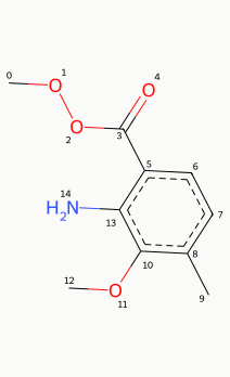 COOC(=O)c1ccc(C)c(OC)c1N